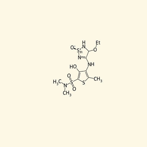 CCOC1N[S@+]([O-])N=C1Nc1c(C)sc(S(=O)(=O)N(C)C)c1O